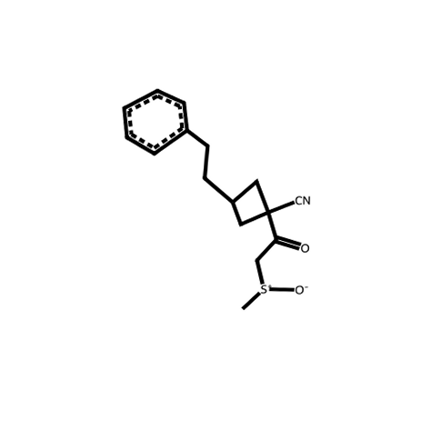 C[S+]([O-])CC(=O)C1(C#N)CC(CCc2ccccc2)C1